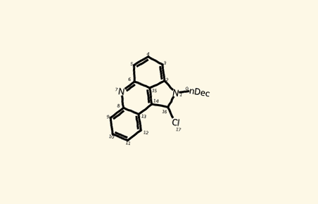 CCCCCCCCCCN1c2cccc3nc4ccccc4c(c23)C1Cl